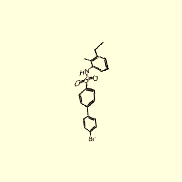 CCc1cccc(NS(=O)(=O)c2ccc(-c3ccc(Br)cc3)cc2)c1C